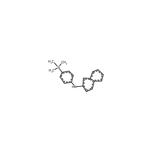 C[Si](C)(C)c1ccc(Nc2ccc3ccccc3c2)cc1